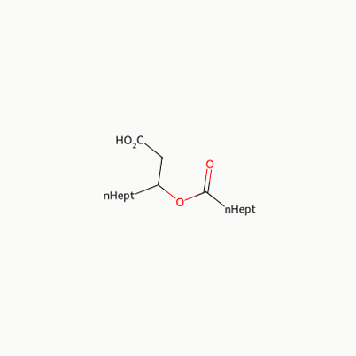 CCCCCCCC(=O)OC(CCCCCCC)CC(=O)O